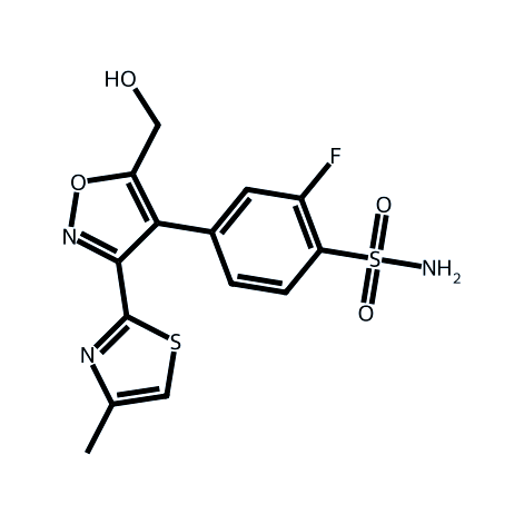 Cc1csc(-c2noc(CO)c2-c2ccc(S(N)(=O)=O)c(F)c2)n1